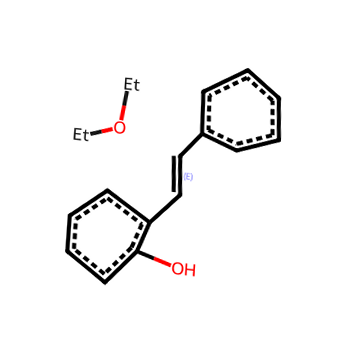 CCOCC.Oc1ccccc1/C=C/c1ccccc1